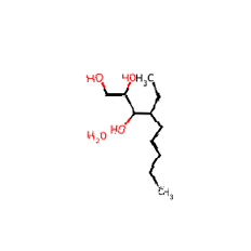 CCCCCC(CC)C(O)C(O)CO.O